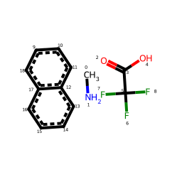 CN.O=C(O)C(F)(F)F.c1ccc2ccccc2c1